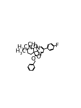 CN1C(=O)C(C(=O)OCc2ccccc2)(c2ncc(-c3ccc(F)cc3)cn2)CCC1(C)C